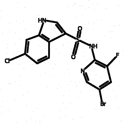 O=S(=O)(Nc1ncc(Br)cc1F)c1c[nH]c2cc(Cl)ccc12